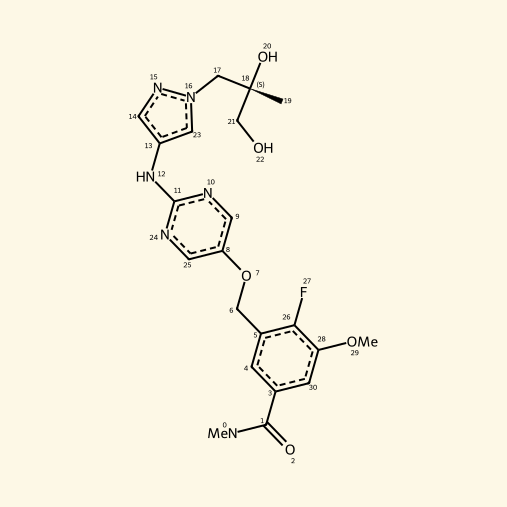 CNC(=O)c1cc(COc2cnc(Nc3cnn(C[C@](C)(O)CO)c3)nc2)c(F)c(OC)c1